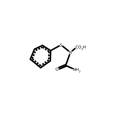 NC(=O)N(Sc1ccccc1)C(=O)O